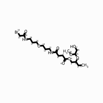 CCC(COC(=O)CCC(=O)NCCCOCCCNC(=O)CBr)OC(CO)OC